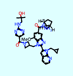 COc1cc(C(=O)N2C[C@H]3CC[C@@H]2[C@@H]3N)cc2nc(-c3cc4cccnc4n3CC3CC3)n(CC3CN(C(=O)c4cnc(NCC(C)(C)O)nc4)C3)c12